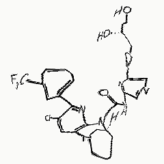 O=C(Nc1cncc(OC[C@H](O)CO)n1)N1c2nc(-c3cccc(C(F)(F)F)c3)c(Cl)cc2N2CCC[C@H]1C2